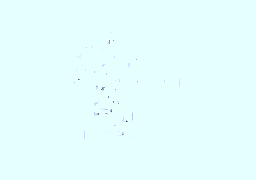 CCOC(=O)C(F)(F)[C@@]1(N[S@+]([O-])C(C)(C)C)CCSc2ccc(Br)cc21